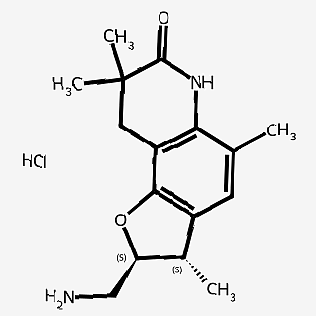 Cc1cc2c(c3c1NC(=O)C(C)(C)C3)O[C@H](CN)[C@H]2C.Cl